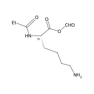 CCC(=O)N[C@@H](CCCCN)C(=O)OC=O